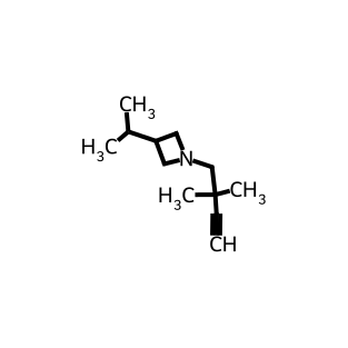 C#CC(C)(C)CN1CC(C(C)C)C1